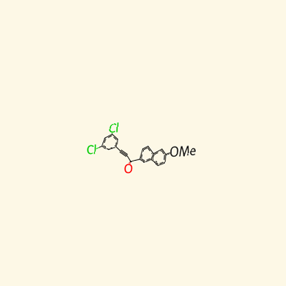 COc1ccc2cc(C(=O)C#Cc3cc(Cl)cc(Cl)c3)ccc2c1